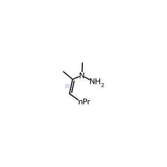 CCC/C=C(/C)N(C)N